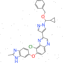 Cc1nc2ccc(Oc3ccc4ncc(-c5cnn(C(OCc6ccccc6)C6CC6)c5)nc4c3Cl)cc2[nH]1